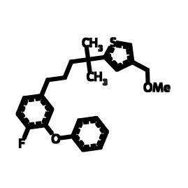 COCc1csc(C(C)(C)CCCc2ccc(F)c(Oc3ccccc3)c2)c1